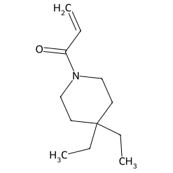 C=CC(=O)N1CCC(CC)(CC)CC1